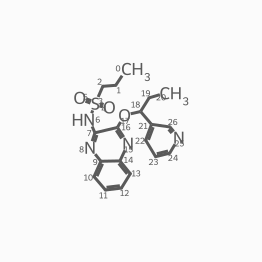 CCCS(=O)(=O)Nc1nc2ccccc2nc1OC(CC)c1cccnc1